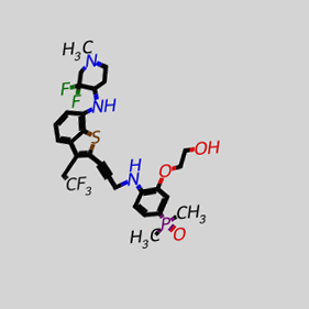 CN1CCC(Nc2cccc3c(CC(F)(F)F)c(C#CCNc4ccc(P(C)(C)=O)cc4OCCO)sc23)C(F)(F)C1